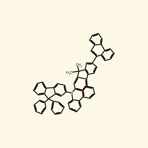 CC1(C)c2cc(-c3cc4ccccc4c4ccccc34)ccc2-c2ccc(N(c3ccc4c(c3)C(c3ccccc3)(c3ccccc3)c3ccccc3-4)c3ccccc3-c3ccccc3)cc21